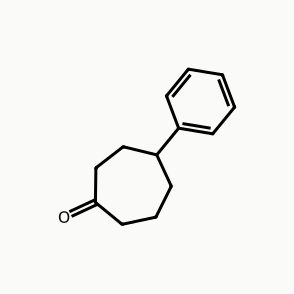 O=C1CCCC(c2ccccc2)CC1